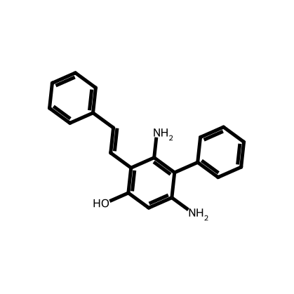 Nc1cc(O)c(C=Cc2ccccc2)c(N)c1-c1ccccc1